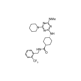 CNc1nc(N[C@H]2CC[C@H](C(=O)NCc3ccccc3C(F)(F)F)CC2)nc(N2CCCCC2)n1